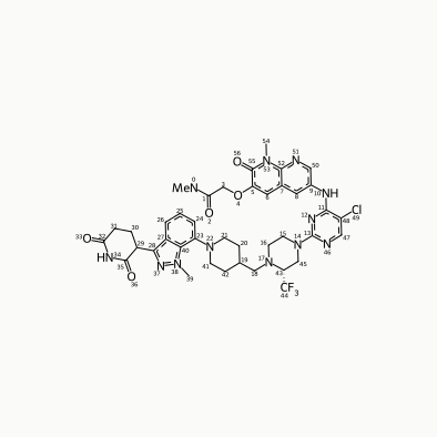 CNC(=O)COc1cc2cc(Nc3nc(N4CCN(CC5CCN(c6cccc7c(C8CCC(=O)NC8=O)nn(C)c67)CC5)[C@@H](C(F)(F)F)C4)ncc3Cl)cnc2n(C)c1=O